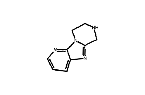 c1cnc2c(c1)nc1n2CCNC1